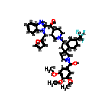 COc1cc(C(=O)N2CCC(CCN3CCC(C(=O)c4nc5ccccc5n4Cc4ccco4)CC3)(c3ccc(C(F)(F)F)cc3)C2)cc(OC)c1OC